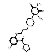 Cn1c(N2CCN(CCCNc3ccc(C#N)cc3C(=O)C3CCCC3)CC2)cc(=O)n(C)c1=O